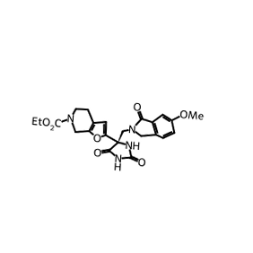 CCOC(=O)N1CCc2cc([C@]3(CN4Cc5ccc(OC)cc5C4=O)NC(=O)NC3=O)oc2C1